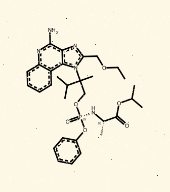 CCOCc1nc2c(N)nc3ccccc3c2n1C(C)(CO[P@@](=O)(N[C@@H](C)C(=O)OC(C)C)Oc1ccccc1)C(C)C